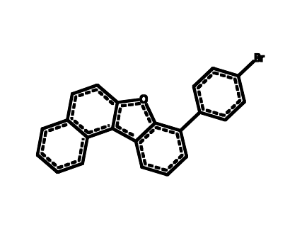 Brc1ccc(-c2cccc3c2oc2ccc4ccccc4c23)cc1